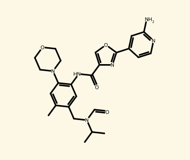 Cc1cc(N2CCOCC2)c(NC(=O)c2coc(-c3ccnc(N)c3)n2)cc1CN(C=O)C(C)C